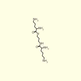 NCCCCC(N)C(=O)NCCC[N]C(=O)C(N)CCCN